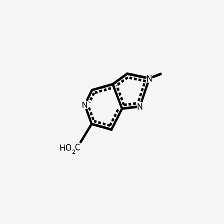 Cn1cc2cnc(C(=O)O)cc2n1